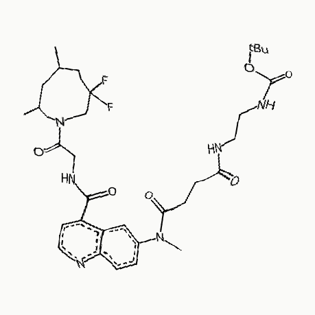 CC1CC(C)N(C(=O)CNC(=O)c2ccnc3ccc(N(C)C(=O)CCC(=O)NCCNC(=O)OC(C)(C)C)cc23)CC(F)(F)C1